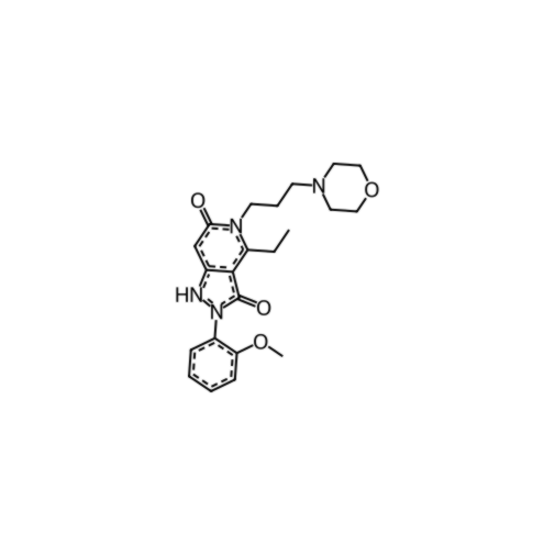 CCc1c2c(=O)n(-c3ccccc3OC)[nH]c2cc(=O)n1CCCN1CCOCC1